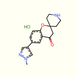 Cl.Cn1cc(-c2ccc3c(c2)C(=O)CC2(CCNCC2)O3)cn1